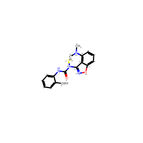 COc1ccccc1NC(=O)N(S)c1noc2cccc(N(C)C)c12